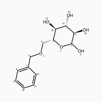 OC1O[C@H](COCc2ccccc2)[C@@H](O)[C@H](O)[C@H]1O